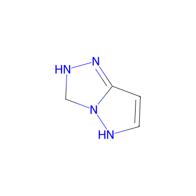 C1=CC2=NNCN2N1